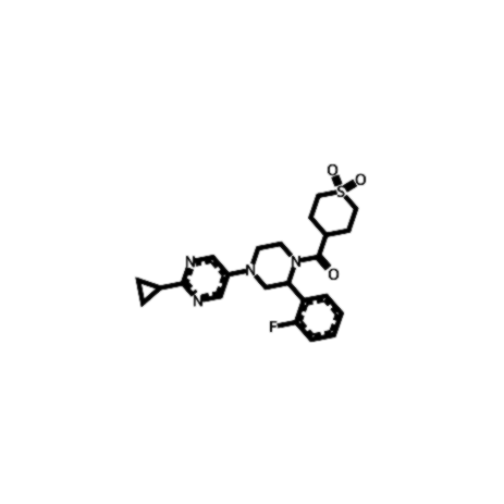 O=C(C1CCS(=O)(=O)CC1)N1CCN(c2cnc(C3CC3)nc2)CC1c1ccccc1F